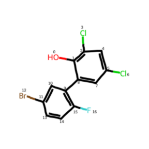 Oc1c(Cl)cc(Cl)cc1-c1cc(Br)ccc1F